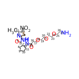 Cc1nc(NC(=O)c2ccccc2NC(=O)CCOCCOCCOCCN)sc1[N+](=O)[O-]